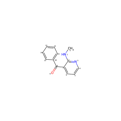 CNc1ncccc1C(=O)c1ccccc1